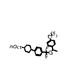 CCCCCCCCC1CCC(c2ccc(C(F)(F)OC(C)c3ccc(OC(F)(F)F)cc3)cc2)CC1